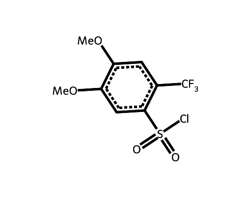 COc1cc(C(F)(F)F)c(S(=O)(=O)Cl)cc1OC